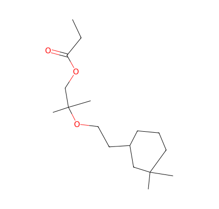 CCC(=O)OCC(C)(C)OCCC1CCCC(C)(C)C1